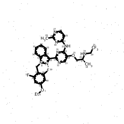 CCOc1cc(F)c(Cn2nc(-c3ncc(OC[C@H](C)NCC(F)(F)F)c(Nc4ccnc(C)n4)n3)c3ccccc32)c(F)c1